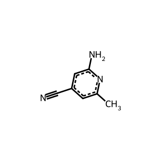 Cc1cc(C#N)cc(N)n1